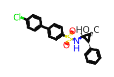 O=C(O)[C@]1(NS(=O)(=O)c2ccc(-c3ccc(Cl)cc3)cc2)C[C@@H]1c1ccccc1